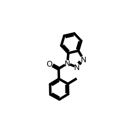 Cc1ccccc1C(=O)n1nnc2ccccc21